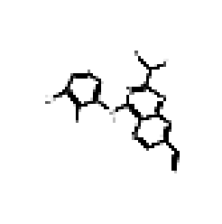 C=Cc1cnc2c(Nc3cccc(Cl)c3C)nc(C(F)F)nc2c1